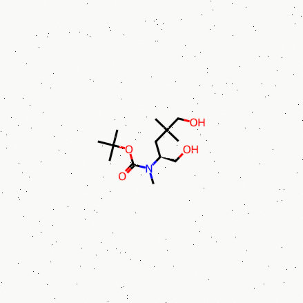 CN(C(=O)OC(C)(C)C)[C@H](CO)CC(C)(C)CO